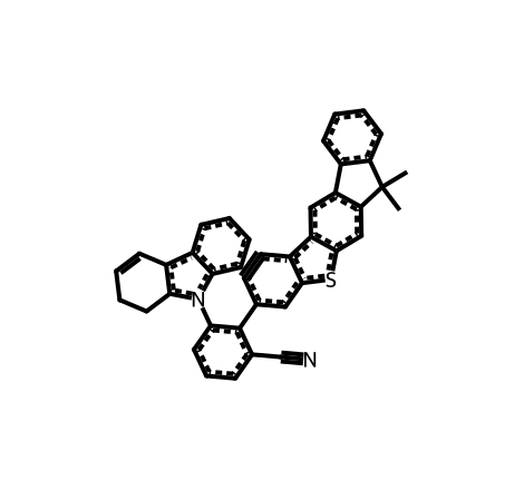 CC1(C)c2ccccc2-c2cc3c(cc21)sc1cc(-c2c(C#N)cccc2-n2c4c(c5ccccc52)C=CCC4)c#cc13